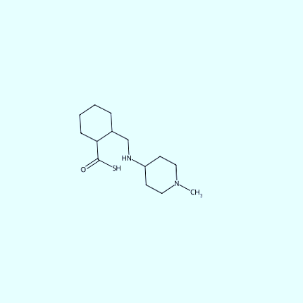 CN1CCC(NCC2CCCCC2C(=O)S)CC1